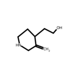 C=C1CNCCC1CCO